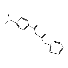 CN(C)c1ccc(C(=O)CC(=O)Nc2ccccc2)cc1